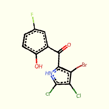 O=C(c1cc(F)ccc1O)c1[nH]c(Cl)c(Cl)c1Br